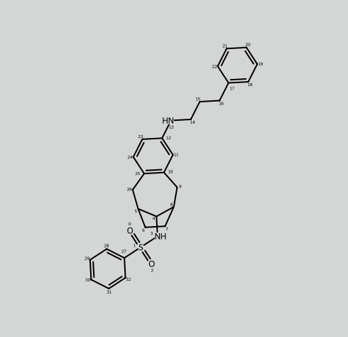 O=S(=O)(NC1C2CCC1Cc1cc(NCCCc3ccccc3)ccc1C2)c1ccccc1